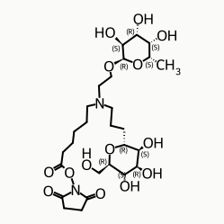 C[C@@H]1O[C@@H](OCCN(CCCCCC(=O)ON2C(=O)CCC2=O)CCC[C@H]2O[C@H](CO)[C@@H](O)[C@H](O)[C@@H]2O)[C@@H](O)[C@H](O)[C@@H]1O